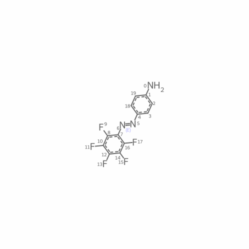 Nc1ccc(/N=N/c2c(F)c(F)c(F)c(F)c2F)cc1